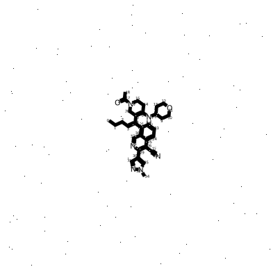 CCC/C=C(\C1=C(NC2CCOCC2)CCN(C(C)=O)C1)c1cccc2c(C#N)c(-c3cnn(C)c3)ncc12